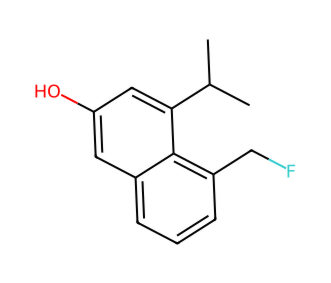 CC(C)c1cc(O)cc2cccc(CF)c12